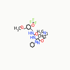 COCc1ccc(OC(F)(F)F)c(CNC(=O)Nc2c(C)c(OC3CC4(CCN4C)C3)nn2-c2ccccc2)c1